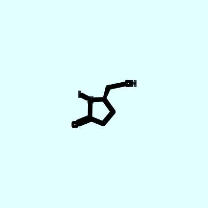 O=C1CC[C@H](CO)N1I